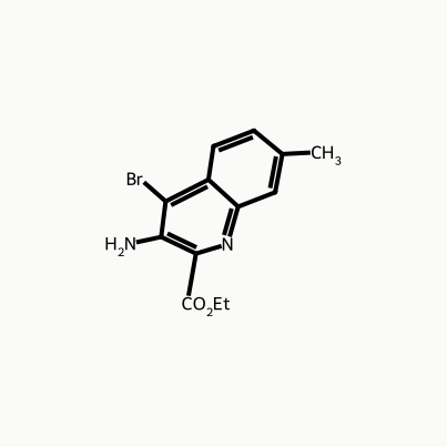 CCOC(=O)c1nc2cc(C)ccc2c(Br)c1N